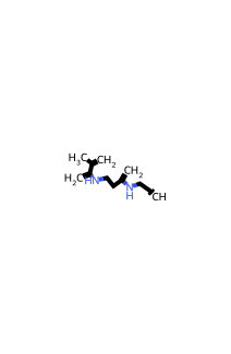 C#CCNC(=C)CCNC(=C)C(=C)C